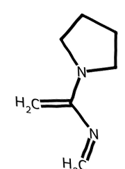 C=NC(=C)N1CCCC1